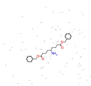 NC(CCCC(=O)OCc1ccccc1)CCCC(=O)OCc1ccccc1